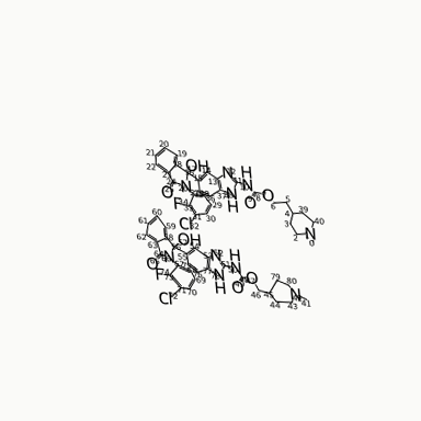 CN1CCC(CCOC(=O)Nc2nc3cc(C4(O)c5ccccc5C(=O)N4c4cccc(Cl)c4F)ccc3[nH]2)CC1.CN1CCC(COC(=O)Nc2nc3cc(C4(O)c5ccccc5C(=O)N4c4cccc(Cl)c4F)ccc3[nH]2)CC1